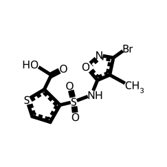 Cc1c(Br)noc1NS(=O)(=O)c1ccsc1C(=O)O